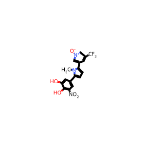 Cn1c(-c2cc(O)c(O)c([N+](=O)[O-])c2)ccc1-c1cc(C(F)(F)F)c[n+]([O-])c1